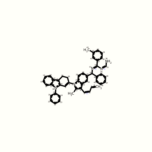 C=C/C=C\c1c(C)n(C2=Cc3c(c4ccccc4n3-c3ccccc3)CC2)c2ccc(C(/N=C(\N=C/N)c3cccc(C)c3)c3ccccc3)cc12